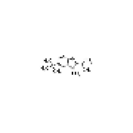 CC(C)c1nc2ccc(C(C)(C)C)cc2n1C